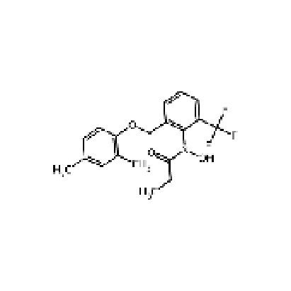 CCC(=O)N(O)c1c(COc2ccc(C)cc2C)cccc1C(F)(F)F